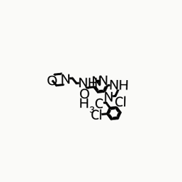 CC(c1c(Cl)cccc1Cl)N1CCNc2nnc(C(=O)NCCN3CCOCC3)cc21